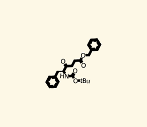 CC(C)(C)OC(=O)N[C@@H](Cc1ccccc1)C(=O)CCC(=O)OCc1ccccc1